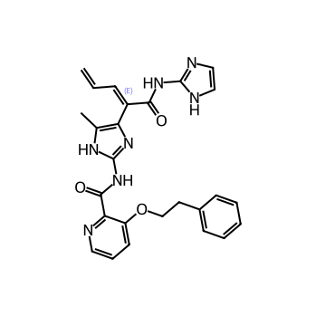 C=C/C=C(/C(=O)Nc1ncc[nH]1)c1nc(NC(=O)c2ncccc2OCCc2ccccc2)[nH]c1C